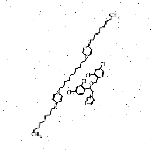 CCCCCCCCN=c1ccn(CCCCCCCCCCn2ccc(=NCCCCCCCC)cc2)cc1.Clc1ccc(COC(Cn2ccnc2)c2ccc(Cl)cc2Cl)c(Cl)c1